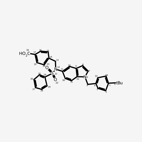 CC(C)(C)c1ccc(Cn2ccc3cc(N(Cc4ccc(C(=O)O)cc4)S(=O)(=O)c4ccccc4)ccc32)cc1